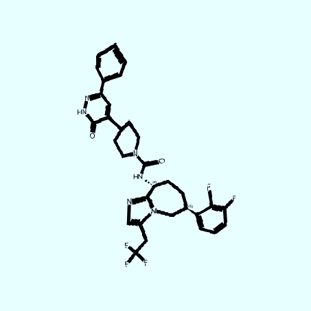 O=C(N[C@@H]1CC[C@@H](c2cccc(F)c2F)Cn2c(CC(F)(F)F)cnc21)N1CCC(c2cc(-c3ccccc3)n[nH]c2=O)CC1